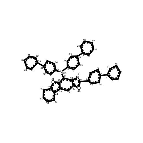 c1ccc(-c2ccc(-c3nc4c(N(c5ccc(-c6ccccc6)cc5)c5ccc(-c6ccccc6)cc5)c5oc6ccccc6c5cc4o3)cc2)cc1